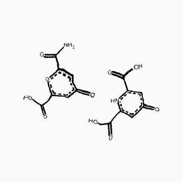 NC(=O)c1cc(=O)cc(C(=O)O)o1.O=C(O)c1cc(=O)cc(C(=O)O)[nH]1